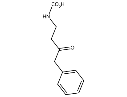 O=C(CCNC(=O)O)Cc1ccccc1